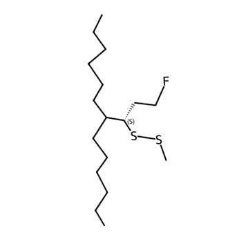 CCCCCCC(CCCCCC)[C@H](CCF)SSC